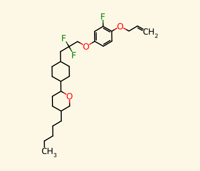 C=CCOc1ccc(OCC(F)(F)CC2CCC(C3CCC(CCCCC)CO3)CC2)cc1F